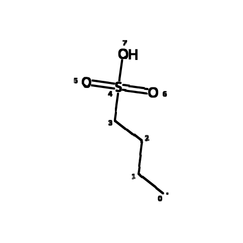 [CH2]CCCS(=O)(=O)O